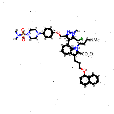 CCOC(=O)c1c(CCCOc2cccc3ccccc23)c2cccc(-c3c(COc4ccc(N5CCN(S(=O)(=O)N(C)C)CC5)cc4)nn(C)c3CBr)c2n1CCCNC